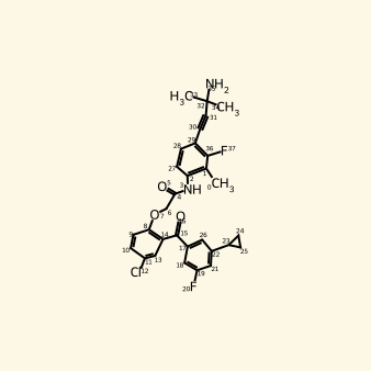 Cc1c(NC(=O)COc2ccc(Cl)cc2C(=O)c2cc(F)cc(C3CC3)c2)ccc(C#CC(C)(C)N)c1F